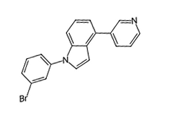 Brc1cccc(-n2ccc3c(-c4cccnc4)cccc32)c1